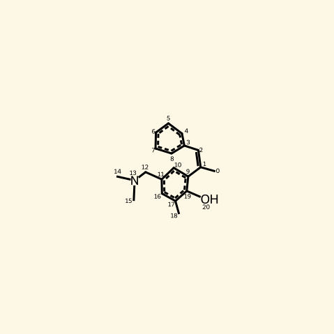 CC(=Cc1ccccc1)c1cc(CN(C)C)cc(C)c1O